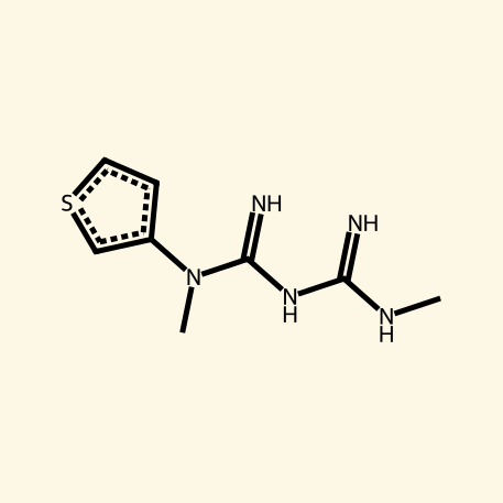 CNC(=N)NC(=N)N(C)c1ccsc1